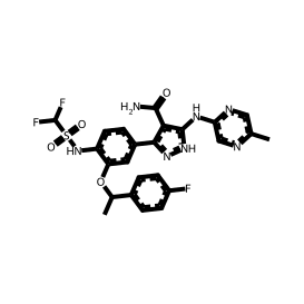 Cc1cnc(Nc2[nH]nc(-c3ccc(NS(=O)(=O)C(F)F)c(OC(C)c4ccc(F)cc4)c3)c2C(N)=O)cn1